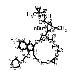 C=C[C@@H]1C[C@@]1(C(=O)NS(=O)(=O)C1(C)CC1)N(CCCC)C(=O)C1CC2CN1C(=O)CNC(=O)OC1CC1CCCCCc1c(nc3cc(C(F)(F)F)ccc3c1OCCN1CCOCC1)O2